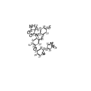 Cc1cc(N(C(=O)C2(C(N)=O)CC2)c2ccc(F)cc2)c(F)cc1Oc1ccnc(-c2cnn(C)c2)c1